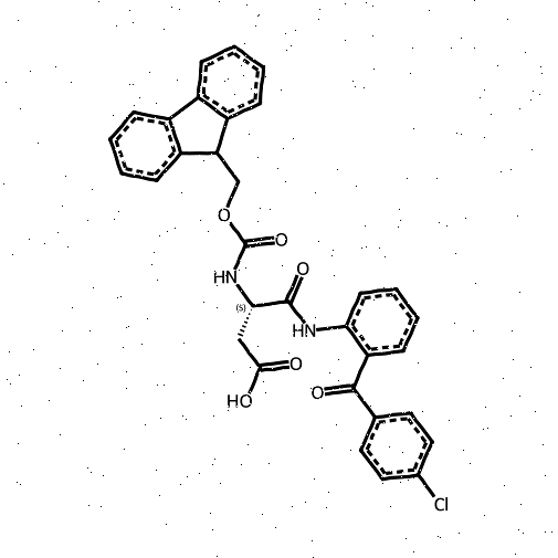 O=C(O)C[C@H](NC(=O)OCC1c2ccccc2-c2ccccc21)C(=O)Nc1ccccc1C(=O)c1ccc(Cl)cc1